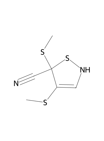 CSC1=CNSC1(C#N)SC